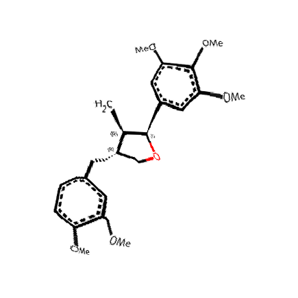 [CH2][C@@H]1[C@@H](Cc2ccc(OC)c(OC)c2)CO[C@@H]1c1cc(OC)c(OC)c(OC)c1